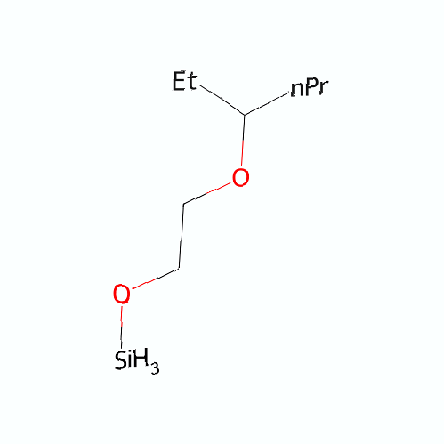 CCCC(CC)OCCO[SiH3]